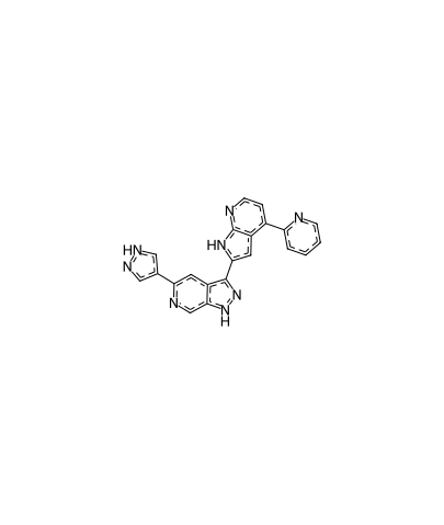 c1ccc(-c2ccnc3[nH]c(-c4n[nH]c5cnc(-c6cn[nH]c6)cc45)cc23)nc1